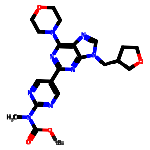 CN(C(=O)OC(C)(C)C)c1ncc(-c2nc(N3CCOCC3)c3ncn(CC4CCOC4)c3n2)cn1